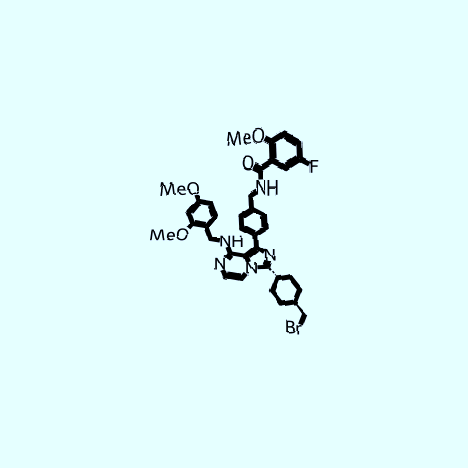 COc1ccc(CNc2nccn3c2c(-c2ccc(CNC(=O)c4cc(F)ccc4OC)cc2)nc3[C@H]2CC[C@H](CBr)CC2)c(OC)c1